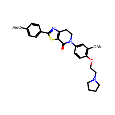 COc1ccc(-c2nc3c(s2)C(=O)N(c2ccc(OCCN4CCCC4)c(OC)c2)CC3)cc1